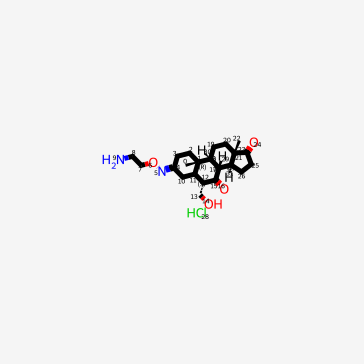 C[C@]12CCC(=NOCCN)CC1[C@@H](CO)C(=O)[C@@H]1[C@@H]2CC[C@]2(C)C(=O)CC[C@@H]12.Cl